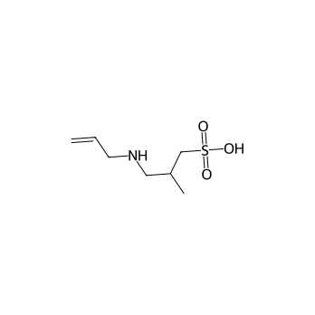 C=CCNCC(C)CS(=O)(=O)O